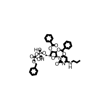 CCCNc1ccn([C@@H]2O[C@H](COP(=O)(O)OP(=O)(O)OCc3ccccc3)[C@H](OC(=O)c3ccccc3)C2OC(=O)c2ccccc2)c(=O)n1